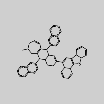 CC1CC=CC2=C(C1)C(c1ccc3ccccc3c1)C1CCC(C3=CC4=C(SC5C=CC=CC45)C4C=CC=CC34)=CC1C2c1ccc2ccccc2c1